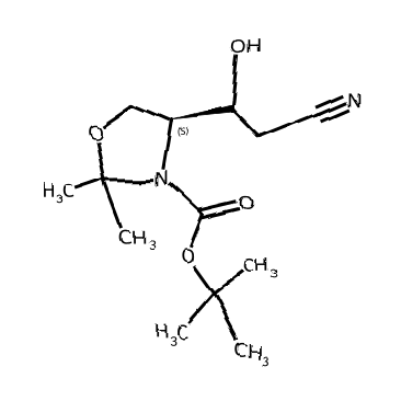 CC(C)(C)OC(=O)N1[C@H](C(O)CC#N)COC1(C)C